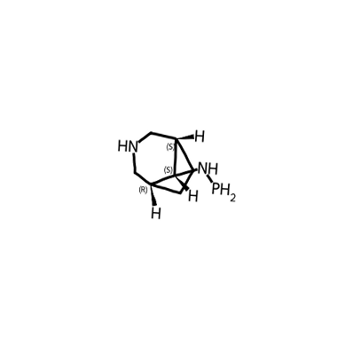 PN[C@@H]1[C@@H]2CC[C@H]1CNC2